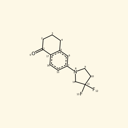 O=C1CCCc2cc(N3CCC(F)(F)C3)ccc21